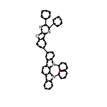 c1ccc(-c2nc3oc4ccc(-c5ccc6c(c5)c5ccc7c8ccccc8n(-c8ccccc8)c7c5n6-c5ccccc5)cc4c3nc2-c2ccccc2)cc1